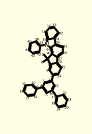 CC1(C)c2cc(-c3cc(-c4ccccc4)cc(-c4ccccc4)c3)ccc2-c2ccc3c4ccccc4n(-c4ccccc4)c3c21